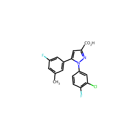 Cc1cc(F)cc(-c2cc(C(=O)O)nn2-c2ccc(F)c(Cl)c2)c1